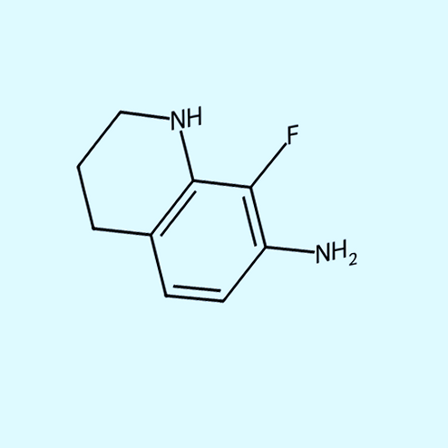 Nc1ccc2c(c1F)NCCC2